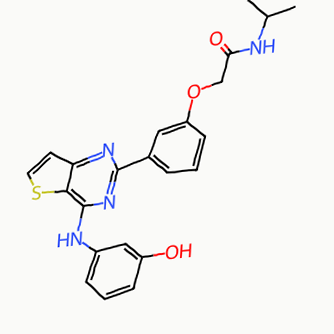 CC(C)NC(=O)COc1cccc(-c2nc(Nc3cccc(O)c3)c3sccc3n2)c1